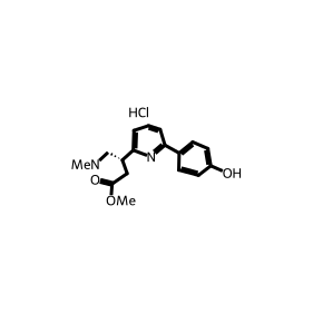 CNC[C@@H](CC(=O)OC)c1cccc(-c2ccc(O)cc2)n1.Cl